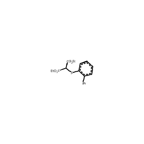 CCOC(=O)C(Sc1ccccc1C(C)C)C(=O)OCC